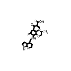 C[C@H]1COc2c(NCc3ccnc4[nH]ccc34)c(F)cc3c(=O)c(C(=O)O)cn1c23